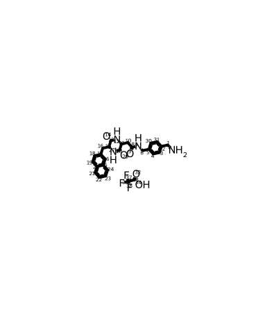 NCc1ccc(CNC(=O)CC2NC(=O)C(Cc3ccc4ccccc4c3)NC2=O)cc1.O=C(O)C(F)(F)F